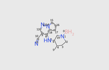 BN1CCC(C)C(Nc2c(C#N)cnn3cccc23)C1